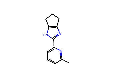 Cc1cccc(-c2nc3c([nH]2)CCC3)n1